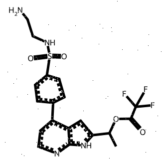 CC(OC(=O)C(F)(F)F)c1cc2c(-c3ccc(S(=O)(=O)NCCN)cc3)ccnc2[nH]1